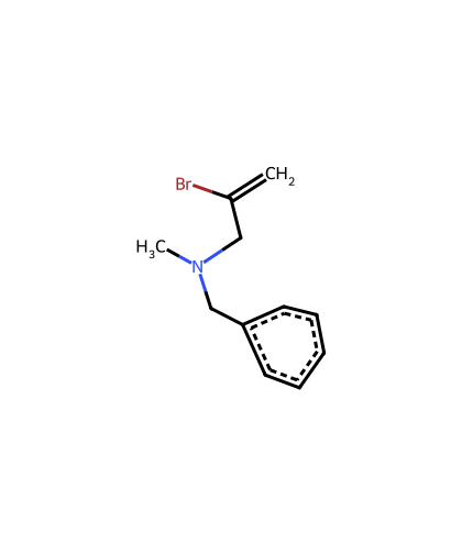 C=C(Br)CN(C)Cc1ccccc1